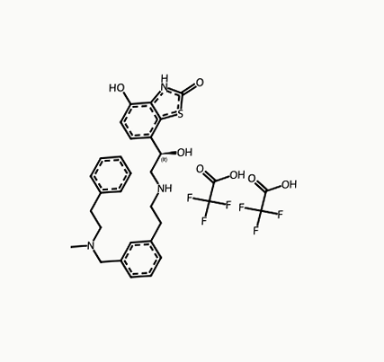 CN(CCc1ccccc1)Cc1cccc(CCNC[C@H](O)c2ccc(O)c3[nH]c(=O)sc23)c1.O=C(O)C(F)(F)F.O=C(O)C(F)(F)F